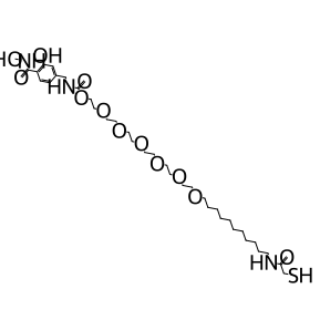 O=C(CS)NCCCCCCCCCCCOCCOCCOCCOCCOCCOCCOC(=O)NCc1ccc(C(=O)NO)c(O)c1